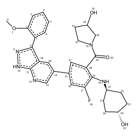 COc1ccccc1-c1n[nH]c2ncc(-c3cc(F)c(N[C@H]4CC[C@H](O)CC4)c(C(=O)N4CCC(O)C4)c3)cc12